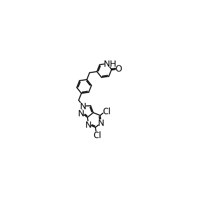 O=c1ccc(Cc2ccc(Cn3cc4c(Cl)nc(Cl)nc4n3)cc2)c[nH]1